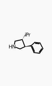 CC(C)[C@H]1CNC[C@@H]1c1ccccc1